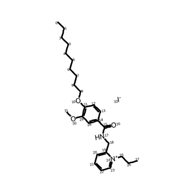 CCCCCCCCCCOc1ccc(C(=O)NCc2cccc[n+]2CCC)cc1OC.[I-]